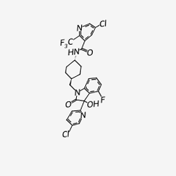 O=C(N[C@H]1CC[C@H](CN2C(=O)C(O)(c3ccc(Cl)cn3)c3c(F)cccc32)CC1)c1cc(Cl)cnc1C(F)(F)F